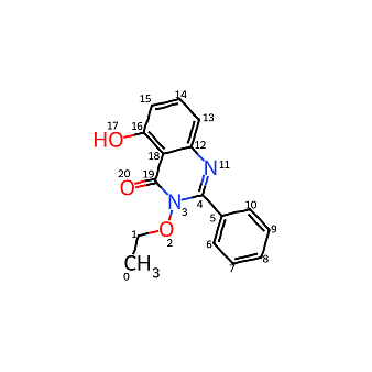 CCOn1c(-c2ccccc2)nc2cccc(O)c2c1=O